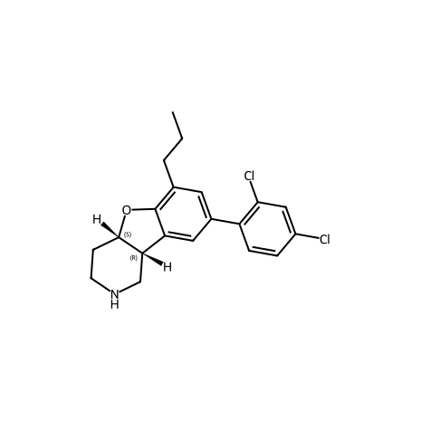 CCCc1cc(-c2ccc(Cl)cc2Cl)cc2c1O[C@H]1CCNC[C@@H]21